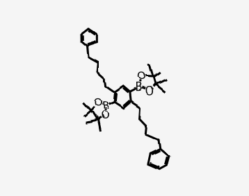 CC1(C)OB(c2cc(CCCCCc3ccccc3)c(B3OC(C)(C)C(C)(C)O3)cc2CCCCCc2ccccc2)OC1(C)C